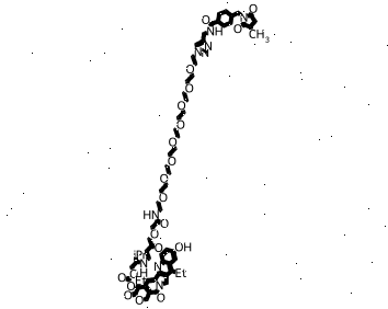 CCc1c2c(nc3ccc(O)cc13)-c1cc3c(c(=O)n1C2)COC(=O)C3(CC)OC(=O)OCC(NCCC(=O)COCC(=O)NCCOCCOCCOCCOCCOCCOCCOCCOCCn1cc(CNC(=O)C2CCC(CN3C(=O)CC(C)C3=O)CC2)nn1)C(C)C